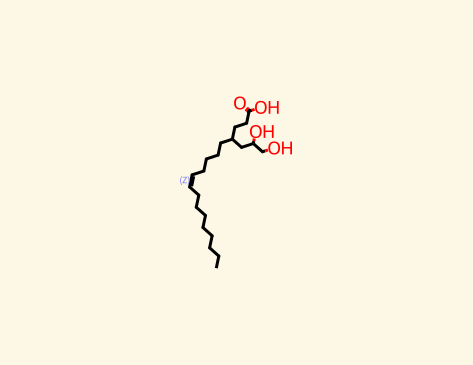 CCCCCCCC/C=C\CCCCC(CCC(=O)O)CC(O)CO